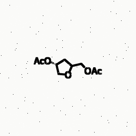 CC(=O)OCC1C[C@@H](OC(C)=O)CO1